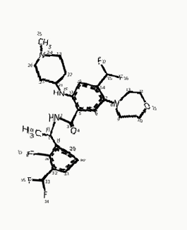 C[C@@H](NC(=O)c1cc(N2CCOCC2)c(C(F)F)cc1NC1CCN(C)CC1)c1cccc(C(F)F)c1F